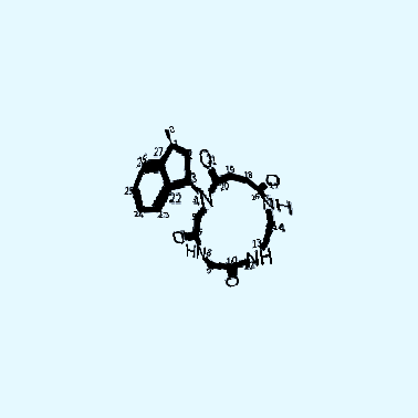 C[C@H]1C[C@@H](N2CC(=O)NCC(=O)NCCNC(=O)CCC2=O)c2ccccc21